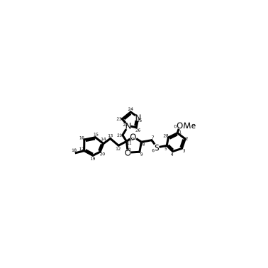 COc1cccc(SCC2COC(CCc3ccc(C)cc3)(Cn3ccnc3)O2)c1